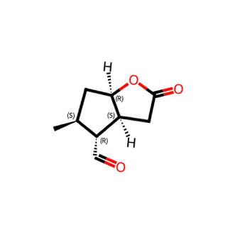 C[C@H]1C[C@H]2OC(=O)C[C@H]2[C@@H]1C=O